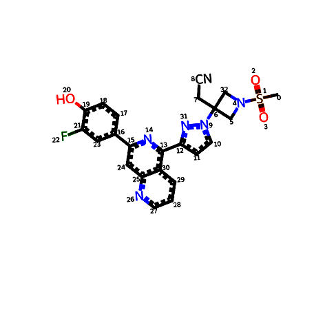 CS(=O)(=O)N1CC(CC#N)(n2ccc(-c3nc(-c4ccc(O)c(F)c4)cc4ncccc34)n2)C1